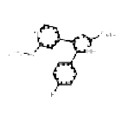 CSc1nc(-c2ccnc(NC=O)c2)c(-c2ccc(F)cc2)[nH]1